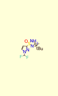 CC(C)(C)[Si](C)(C)N=S(N)(=O)c1ccn(C(F)F)n1